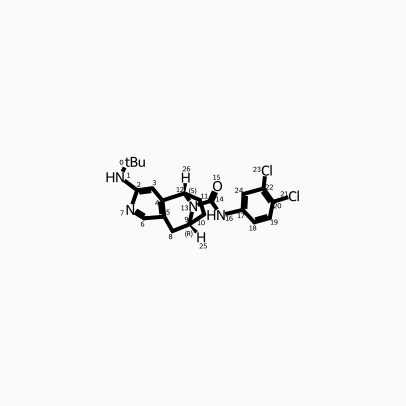 CC(C)(C)Nc1cc2c(cn1)C[C@H]1CC[C@@H]2N1C(=O)Nc1ccc(Cl)c(Cl)c1